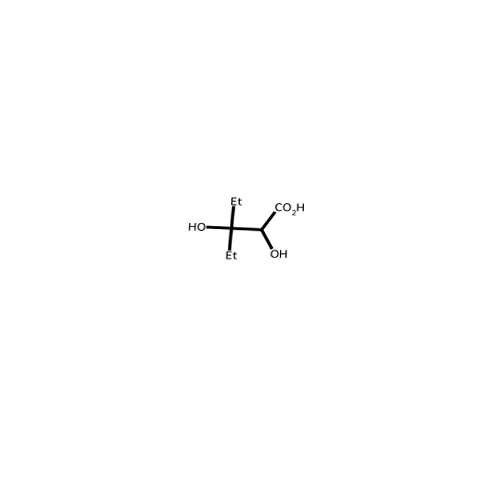 CCC(O)(CC)C(O)C(=O)O